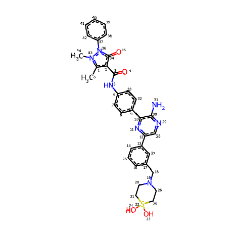 Cc1c(C(=O)Nc2ccc(-c3nc(-c4cccc(CN5CCS(O)(O)CC5)c4)cnc3N)cc2)c(=O)n(-c2ccccc2)n1C